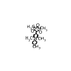 CC1=CC(=C2C(=O)N(C)C(=O)N(C)C2=O)C=C(C)N1N1CCN(C)CC1